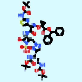 CC(C)(C)OC(=O)NCC[C@H](NC(=O)OC(C)(C)C)c1cnn(C[C@@H]2[C@H](NC(=O)/C(=N\OC3(C(=O)OC(c4ccccc4)c4ccccc4)CC3)c3csc(NC(=O)OC(C)(C)C)n3)C(=O)N2S(=O)(=O)O)n1